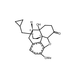 COc1ccc2c3c1OC1C(=O)CCC4(O)[C@@H](C2)N(CC2CC2)CC[C@]314